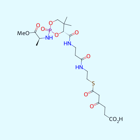 COC(=O)[C@H](C)NP1(=O)OCC(C)(C)[C@H](C(=O)NCCC(=O)NCCSC(=O)CC(=O)CCC(=O)O)O1